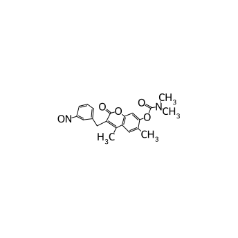 Cc1cc2c(C)c(Cc3cccc(N=O)c3)c(=O)oc2cc1OC(=O)N(C)C